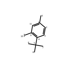 Cc1ccc(C(C)(C)C)c(I)c1